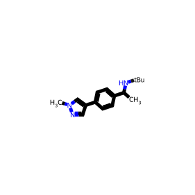 CC(NC(C)(C)C)c1ccc(-c2cnn(C)c2)cc1